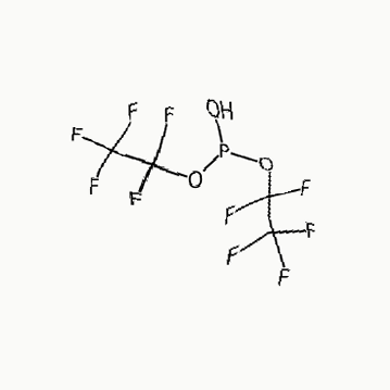 OP(OC(F)(F)C(F)(F)F)OC(F)(F)C(F)(F)F